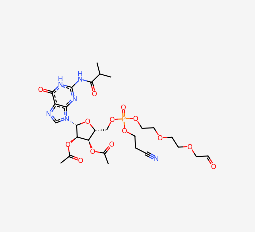 CC(=O)O[C@@H]1[C@H](OC(C)=O)[C@@H](COP(=O)(OCCC#N)OCCOCCOCC=O)O[C@H]1n1cnc2c(=O)[nH]c(NC(=O)C(C)C)nc21